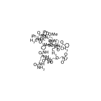 CCC(C)C(C(CC(=O)N1CCCC1C(OC)C(C)C(=O)NC(C)C(=O)c1ccccc1)OC)N(C)C(=O)[C@@H](NC(=O)C(C(C)C)N(C)C(=O)OCc1ccc(NC(=O)[C@H](CCCNC(N)=O)NC(=O)C(NC(=O)CCOCCN2C(=O)C=CC2=O)C(C)C)cc1CS(=O)(=O)O)C(C)C